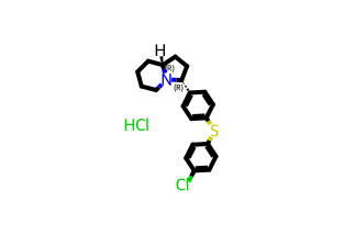 Cl.Clc1ccc(Sc2ccc([C@H]3CC[C@H]4CCCCN43)cc2)cc1